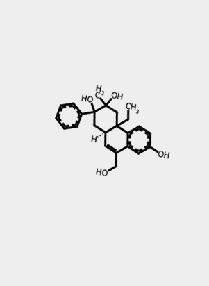 CCC12CC(C)(O)C(O)(c3ccccc3)C[C@@H]1C=C(CO)c1cc(O)ccc12